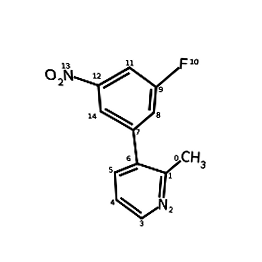 Cc1ncccc1-c1cc(F)cc([N+](=O)[O-])c1